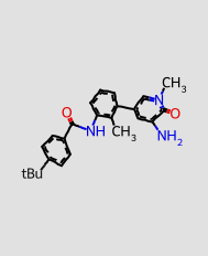 Cc1c(NC(=O)c2ccc(C(C)(C)C)cc2)cccc1-c1cc(N)c(=O)n(C)c1